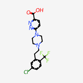 O=C(O)c1ccc(N2CCN(CCc3cc(Cl)ccc3C(F)(F)F)CC2)nn1